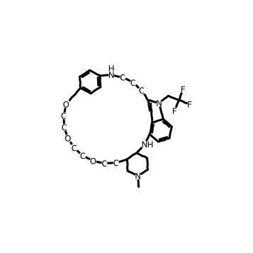 CN1CCC2Nc3cccc4c3cc(n4CC(F)(F)F)CCCNc3ccc(cc3)OCCOCCOCCC2C1